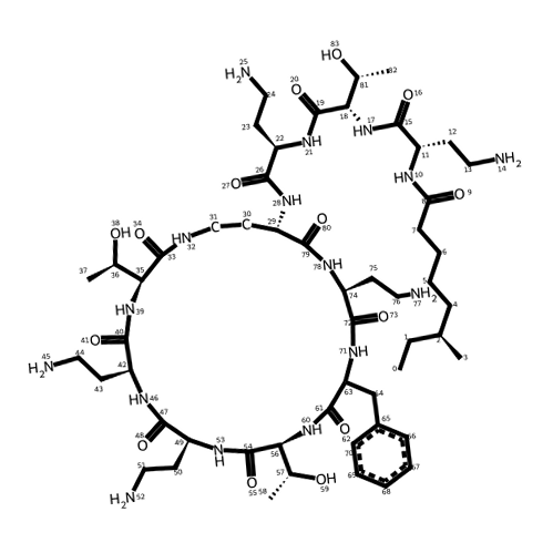 CC[C@H](C)CCCCC(=O)N[C@@H](CCN)C(=O)N[C@H](C(=O)N[C@H](CCN)C(=O)N[C@H]1CCNC(=O)[C@H]([C@@H](C)O)NC(=O)[C@H](CCN)NC(=O)[C@H](CCN)NC(=O)[C@H]([C@@H](C)O)NC(=O)C(Cc2ccccc2)NC(=O)[C@H](CCN)NC1=O)[C@@H](C)O